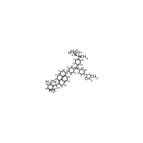 CCC(C)c1ccc(N(c2ccc(-c3ccc4ccc5c(C(CC)(CC)c6ccccc6)ccc6ccc3c4c65)cc2)c2ccc(C(C)(CC)CC)cc2)cc1